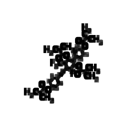 C=C(C)C(=O)Oc1ccc(C#Cc2c(F)c(OC(=O)C(=C)C)c(-c3ccc(OC(=O)C(=C)C)cc3)c(OC(=O)C(=C)C)c2C(F)(F)F)cc1